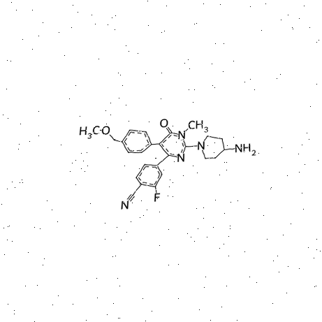 COCc1ccc(-c2c(-c3ccc(C#N)c(F)c3)nc(N3CCC(N)CC3)n(C)c2=O)cc1